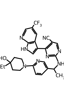 CCC1(O)CCN(c2ccc(C(C)Nc3ncc(C#N)c(-c4c[nH]c5ncc(C(F)(F)F)cc45)n3)cn2)CC1